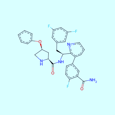 NC(=O)c1cc(-c2cccnc2[C@H](Cc2cc(F)cc(F)c2)NC(=O)[C@@H]2C[C@H](Oc3ccccc3)CN2)ccc1F